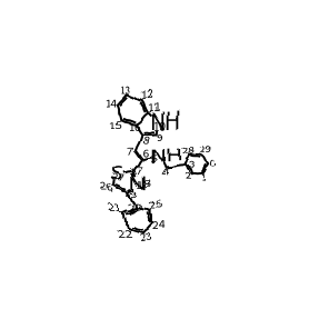 c1ccc(CNC(Cc2c[nH]c3ccccc23)c2nc(-c3ccccc3)cs2)cc1